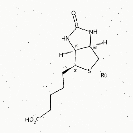 O=C(O)CCCC[C@@H]1SC[C@@H]2NC(=O)N[C@@H]21.[Ru]